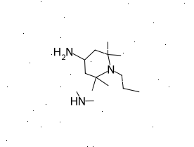 CCCN1C(C)(C)CC(N)CC1(C)C.CNC